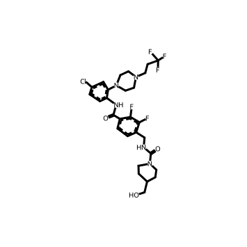 O=C(Nc1ccc(Cl)cc1N1CCN(CCC(F)(F)F)CC1)c1ccc(CNC(=O)N2CCC(CO)CC2)c(F)c1F